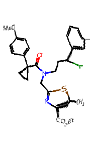 CCOC(=O)c1nc(CN(CCC(F)c2ccccc2)C(=O)C2(c3ccc(OC)cc3)CC2)sc1C